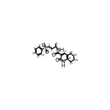 CC(/C=C/S(=O)(=O)c1ccccc1)NC(=O)c1cc2c([nH]c1=O)CCCC2